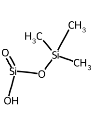 C[Si](C)(C)O[Si](=O)O